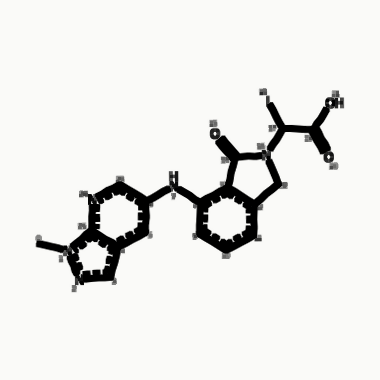 Cn1ncc2cc(Nc3cccc4c3C(=O)N(C(I)C(=O)O)C4)cnc21